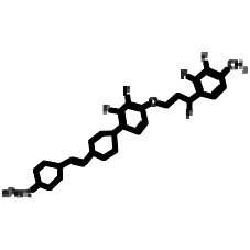 CCCCCC1CCC(/C=C/C2CCC(c3ccc(OCCC(F)c4ccc(C)c(F)c4F)c(F)c3F)CC2)CC1